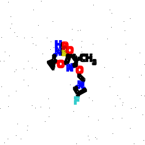 Cc1cc2c(nc1OCCN1CC(F)C1)OC1(CC1)CNS2(=O)=O